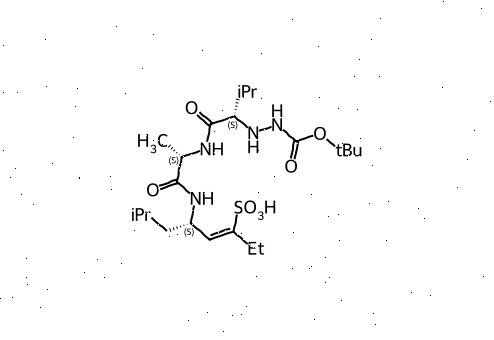 CCC(=C[C@H](CC(C)C)NC(=O)[C@H](C)NC(=O)[C@@H](NNC(=O)OC(C)(C)C)C(C)C)S(=O)(=O)O